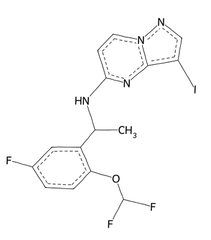 CC(Nc1ccn2ncc(I)c2n1)c1cc(F)ccc1OC(F)F